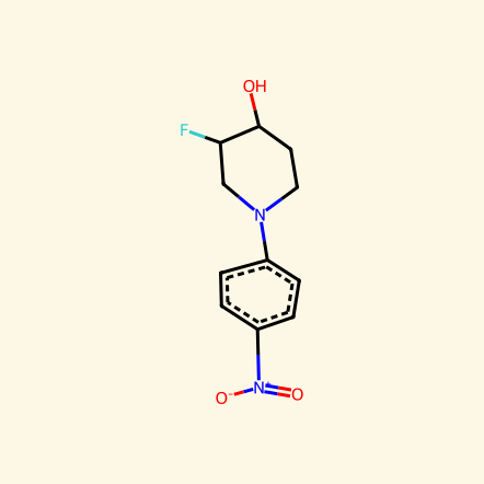 O=[N+]([O-])c1ccc(N2CCC(O)C(F)C2)cc1